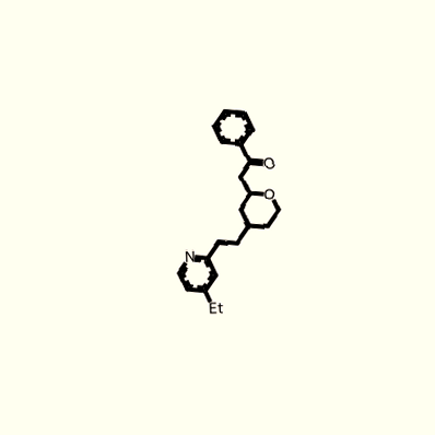 CCc1ccnc(CCC2CCOC(CC(=O)c3ccccc3)C2)c1